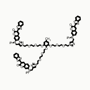 Cc1cc(OCCOCCOCCn2cc(CN(c3ccc4cc(-c5nc6ccccc6s5)c(=O)oc4c3)C(C)C)nn2)c(OCCOCCOCCn2cc(CN(c3ccc4cc(-c5nc6ccccc6s5)c(=O)oc4c3)C(C)C)nn2)c(OCCOCCOCCn2cc(CN(c3ccc4cc(-c5nc6ccccc6s5)c(=O)oc4c3)C(C)C)nn2)c1